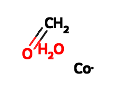 C=O.O.[Co]